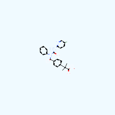 COC(=O)C(C)(C)c1ccc(C(=O)N(C(=O)Nc2ccc(Cl)cn2)c2ccccc2)cc1